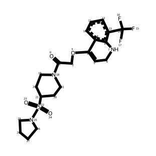 O=C(COC1=CCNc2c1cccc2C(F)(F)F)N1CCC(S(=O)(=O)N2CCCC2)CC1